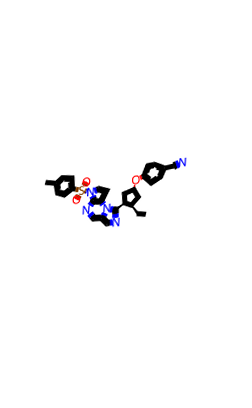 CC[C@@H]1C[C@@H](Oc2ccc(C#N)cc2)C[C@@H]1c1ncc2cnc3c(ccn3S(=O)(=O)c3ccc(C)cc3)n12